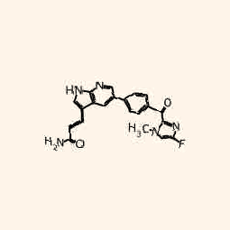 Cn1cc(F)nc1C(=O)c1ccc(-c2cnc3[nH]cc(/C=C/C(N)=O)c3c2)cc1